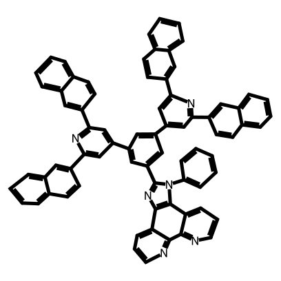 c1ccc(-n2c(-c3cc(-c4cc(-c5ccc6ccccc6c5)nc(-c5ccc6ccccc6c5)c4)cc(-c4cc(-c5ccc6ccccc6c5)nc(-c5ccc6ccccc6c5)c4)c3)nc3c4cccnc4c4ncccc4c32)cc1